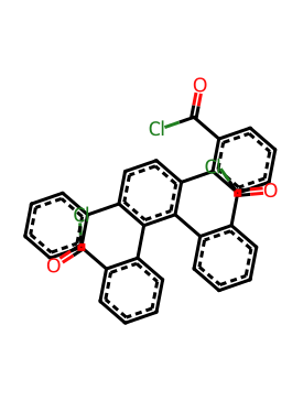 O=C(Cl)c1ccccc1-c1ccc(-c2ccccc2)c(-c2ccccc2C(=O)Cl)c1-c1ccccc1C(=O)Cl